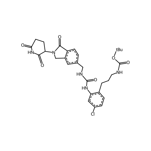 CC(C)(C)OC(=O)NCCCc1ccc(Cl)cc1NC(=O)NCc1ccc2c(c1)CN(C1CCC(=O)NC1=O)C2=O